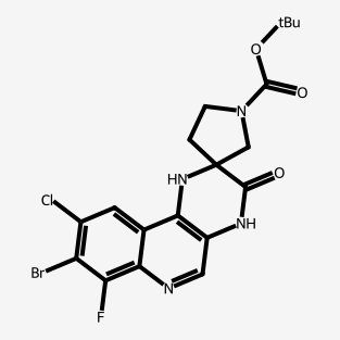 CC(C)(C)OC(=O)N1CCC2(C1)Nc1c(cnc3c(F)c(Br)c(Cl)cc13)NC2=O